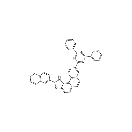 C1=Cc2cc(C3Nc4c(ccc5ccc6cc(-c7nc(-c8ccccc8)nc(-c8ccccc8)n7)ccc6c45)S3)ccc2CC1